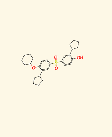 O=S(=O)(c1ccc(O)c(C2CCCC2)c1)c1ccc(OC2CCCCC2)c(C2CCCC2)c1